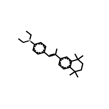 CCN(CC)c1ccc(/C=C(\C)c2ccc3c(c2)C(C)(C)CCC3(C)C)cc1